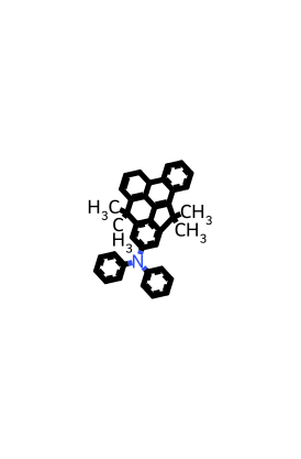 CC1(C)C2=C3C4=C(c5ccccc5C3CC=C2)C(C)(C)c2cc(N(c3ccccc3)c3ccccc3)cc1c24